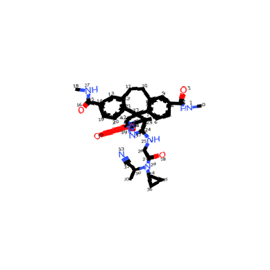 CNC(=O)c1ccc2c(c1)CCc1cc(C(=O)NC)ccc1C21CC(NCC(=O)N(C(C)C#N)C2CC2)n2oc(=O)nc21